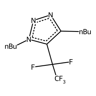 CCCCc1nnn(CCCC)c1C(F)(F)C(F)(F)F